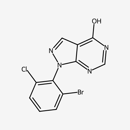 Oc1ncnc2c1cnn2-c1c(Cl)cccc1Br